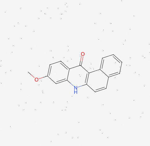 COc1ccc2c(=O)c3c(ccc4ccccc43)[nH]c2c1